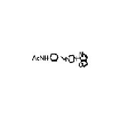 CC(=O)N[C@H]1CC[C@H](CCN2CCN(c3nccc4ccoc34)CC2)CC1